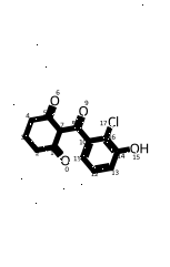 O=C1CCCC(=O)C1C(=O)c1cccc(O)c1Cl